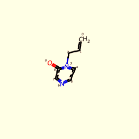 C=CCn1ccncc1=O